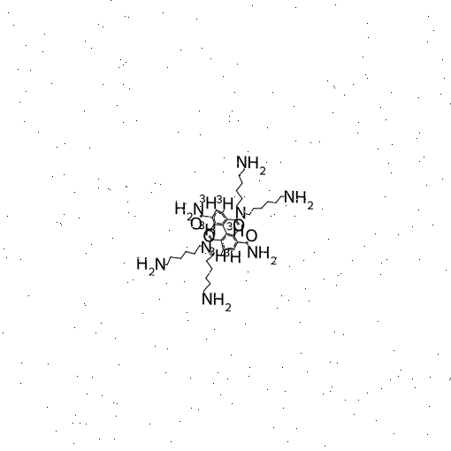 [3H]c1c([3H])c(C(=O)N(CCCCCCN)CCCCCCN)c(-c2c([3H])c(C(N)=O)c([3H])c([3H])c2C(=O)N(CCCCCCN)CCCCCCN)c([3H])c1C(N)=O